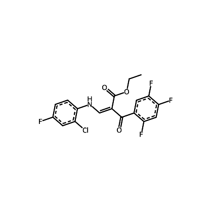 CCOC(=O)C(=CNc1ccc(F)cc1Cl)C(=O)c1cc(F)c(F)cc1F